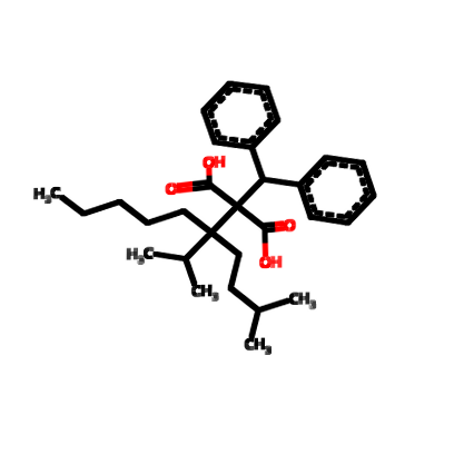 CCCCCC(CCC(C)C)(C(C)C)C(C(=O)O)(C(=O)O)C(c1ccccc1)c1ccccc1